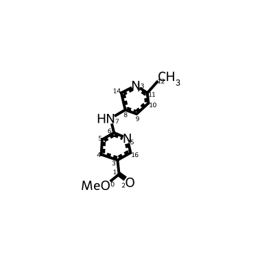 COC(=O)c1ccc(Nc2ccc(C)nc2)nc1